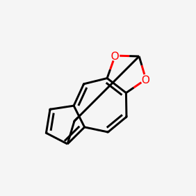 c1cc2c3ccc4c(cc1-3)OC(C2)O4